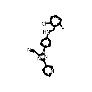 N#Cc1nc(-c2cccnc2)nn1-c1ccc(NCc2c(F)cccc2Cl)cc1